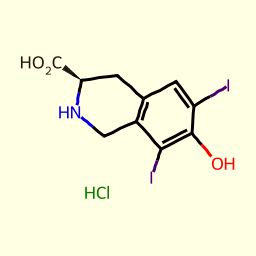 Cl.O=C(O)[C@H]1Cc2cc(I)c(O)c(I)c2CN1